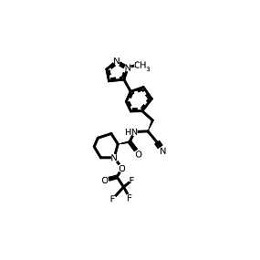 Cn1nccc1-c1ccc(C[C@@H](C#N)NC(=O)[C@@H]2CCCCN2OC(=O)C(F)(F)F)cc1